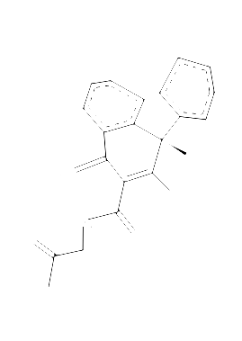 CC(=O)CNC(=O)C1=C(O)[C@@](C)(c2ccccc2)c2ccccc2C1=O